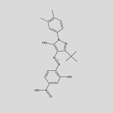 Cc1ccc(-n2nc(C(C)(C)C)c(/N=N/c3ccc(C(=O)O)cc3O)c2O)cc1C